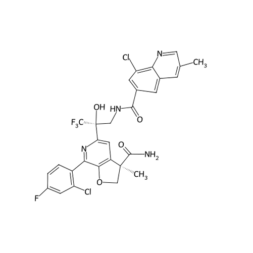 Cc1cnc2c(Cl)cc(C(=O)NC[C@](O)(c3cc4c(c(-c5ccc(F)cc5Cl)n3)OC[C@]4(C)C(N)=O)C(F)(F)F)cc2c1